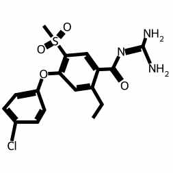 CCc1cc(Oc2ccc(Cl)cc2)c(S(C)(=O)=O)cc1C(=O)N=C(N)N